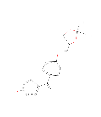 C=C(c1ccc(O)cc1)c1ccc(OCC2COC(C)(C)O2)cc1